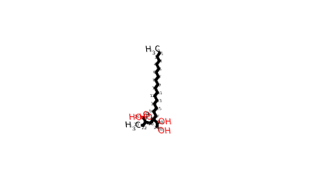 CCCCCCCCCCCCCCCCCC[C@](O)(CC(CC)C(=O)O)C(O)CO